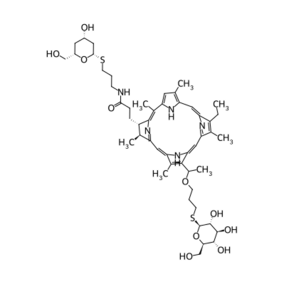 CCC1=C(C)c2cc3[nH]c(cc4nc(c(C)c5cc(C)c(cc1n2)[nH]5)[C@@H](CCC(=O)NCCCS[C@H]1C[C@@H](O)C[C@@H](CO)O1)[C@@H]4C)c(C)c3C(C)OCCCS[C@@H]1O[C@H](CO)[C@@H](O)[C@H](O)[C@H]1O